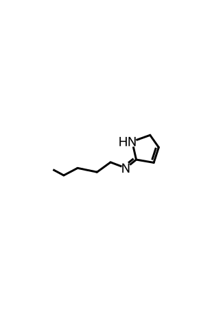 CCCCCN=C1C=CCN1